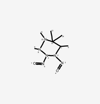 CC1N(N=O)N(N=O)N(C)N(C)C1(C)C